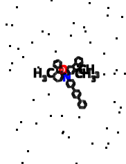 CC1CCC=C(N(c2ccc(-c3ccc(-c4ccccc4)cc3)cc2)c2ccc3c(c2)C(C)(C)c2ccccc2-3)c2oc3ccccc3c21